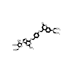 CCN(CC)c1ccc2c(COc3ccc(COc4nc(N)nc5c4ncn5[C@@H]4O[C@H](CO)[C@@H](O)[C@H]4O)cc3)cc(=O)oc2c1